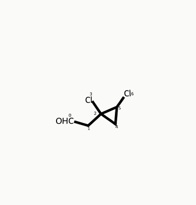 O=CCC1(Cl)CC1Cl